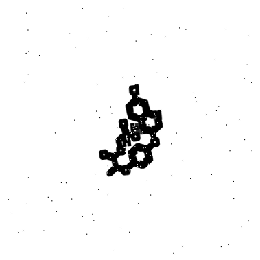 CC(Oc1ccc(Oc2cnc3cc(Cl)ccc3n2)cc1)C(=O)OC[PH](=O)O